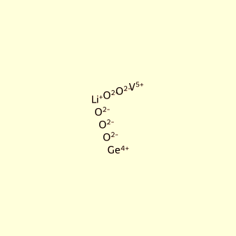 [Ge+4].[Li+].[O-2].[O-2].[O-2].[O-2].[O-2].[V+5]